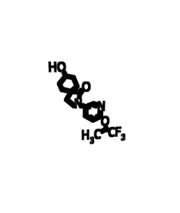 CC(Oc1ccc(N2CCC3(CCC(O)CC3)C2=O)cn1)C(F)(F)F